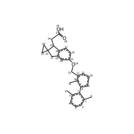 Cc1cccc(C)c1-c1cccc(COc2ccc3c(c2)CC2(CC2)C3CC(=O)O)c1C